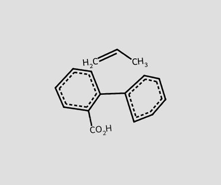 C=CC.O=C(O)c1ccccc1-c1ccccc1